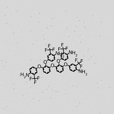 Nc1ccc(Oc2cccc(Oc3cccc(Oc4ccc(N)c(C(F)(F)F)c4)c3Oc3ccc(N)c(C(F)(F)F)c3)c2Oc2ccc(N)c(C(F)(F)F)c2)cc1C(F)(F)F